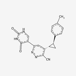 Cc1ccc([C@H]2C[C@@H]2c2cc(-c3c[nH]c(=O)[nH]c3=O)nnc2C#N)cc1